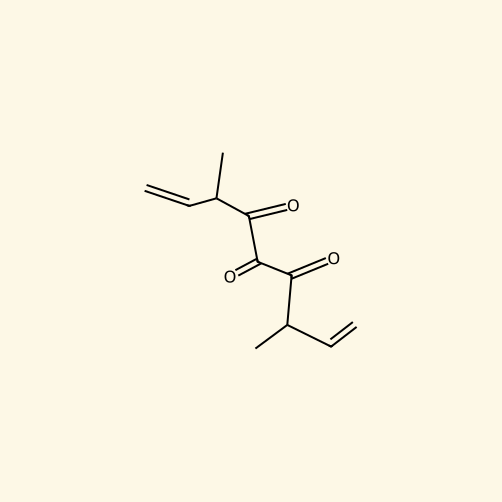 C=CC(C)C(=O)C(=O)C(=O)C(C)C=C